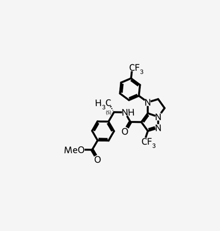 COC(=O)c1ccc([C@H](C)NC(=O)c2c(C(F)(F)F)nn3c2N(c2cccc(C(F)(F)F)c2)CC3)cc1